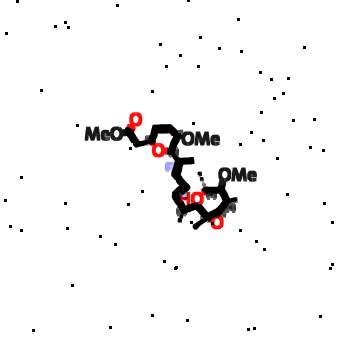 COC(=O)C[C@H]1C=C[C@H](OC)[C@@H](/C(C)=C/C=C/[C@@H](C)C[C@@]2(C)O[C@@H]2[C@H](C)C(OC)[C@@H](C)O)O1